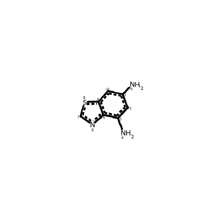 Nc1cc(N)c2ncsc2c1